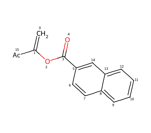 C=C(OC(=O)c1ccc2ccccc2c1)C(C)=O